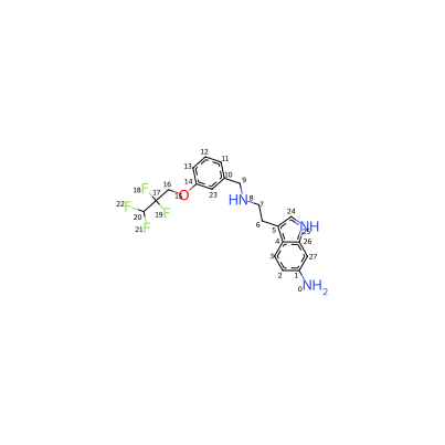 Nc1ccc2c(CCNCc3cccc(OCC(F)(F)C(F)F)c3)c[nH]c2c1